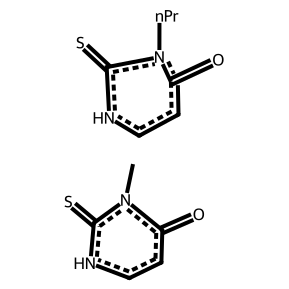 CCCn1c(=O)cc[nH]c1=S.Cn1c(=O)cc[nH]c1=S